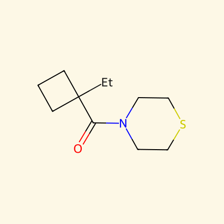 CCC1(C(=O)N2CCSCC2)CCC1